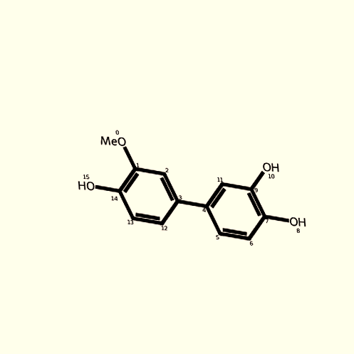 COc1cc(-c2ccc(O)c(O)c2)ccc1O